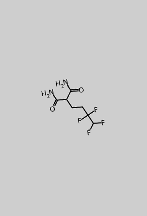 NC(=O)C(CCC(F)(F)C(F)F)C(N)=O